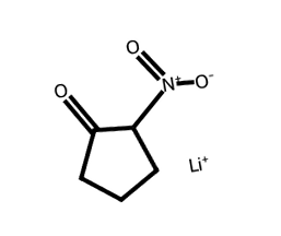 O=C1CCCC1[N+](=O)[O-].[Li+]